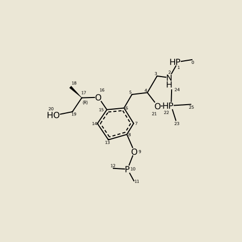 CPNCC(Cc1cc(OP(C)C)ccc1O[C@H](C)CO)O[PH](C)(C)C